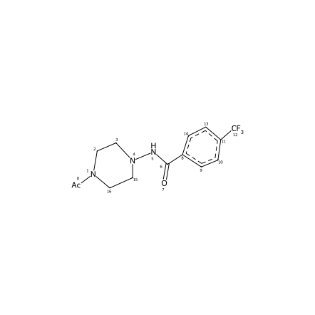 CC(=O)N1CCN(NC(=O)c2ccc(C(F)(F)F)cc2)CC1